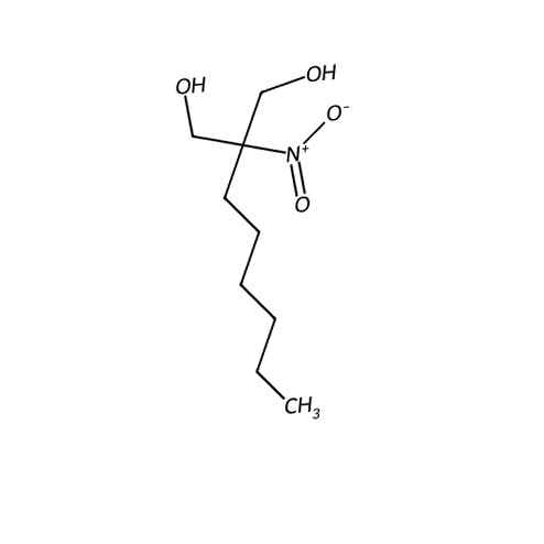 CCCCCCC(CO)(CO)[N+](=O)[O-]